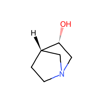 O[C@@H]1CN2CC[C@H]1C2